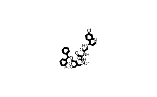 CC(=O)OCC1=C(C(=O)OC(c2ccccc2)c2ccccc2)N2C(=O)[C@@H](NC(=O)CNc3ccnc4cc(Cl)ccc34)[C@H]2[S+]([O-])C1